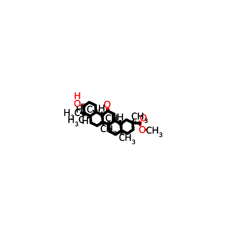 COC(=O)[C@@]1(C)CC[C@]2(C)CCC3(C)C(=CC(=O)[C@@H]4[C@@]5(C)CC[C@H](O)C(C)(C)[C@@H]5CC[C@]43C)[C@@H]2C1